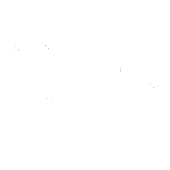 Cc1cc(N)ncc1C#Cc1c(F)ccc(N)c1F